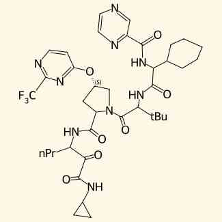 CCCC(NC(=O)C1C[C@H](Oc2ccnc(C(F)(F)F)n2)CN1C(=O)C(NC(=O)C(NC(=O)c1cnccn1)C1CCCCC1)C(C)(C)C)C(=O)C(=O)NC1CC1